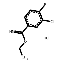 CCOC(=N)c1ccc(F)c(Cl)c1.Cl